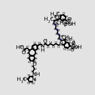 C=C(/C=C/C=C/C=C/C=C1/N(CCCCCC(=O)NCc2ccc3c(c2)Cc2cc(OCCCNc4cc(C)ccn4)ccc2CC3CC(=O)O)c2ccc(S(=O)(=O)O)cc2C1(C)C)C(C)(C)c1cc(S(=O)(=O)O)ccc1C